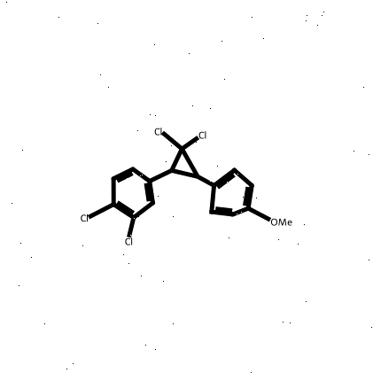 COc1ccc(C2C(c3ccc(Cl)c(Cl)c3)C2(Cl)Cl)cc1